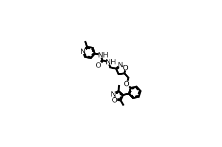 Cc1cc(NC(=O)NCC2=NOC(COc3ccccc3-c3c(C)noc3C)C2)ccn1